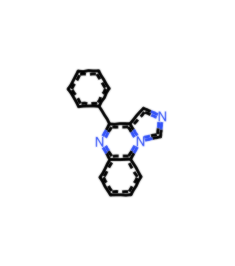 c1ccc(-c2nc3ccccc3n3cncc23)cc1